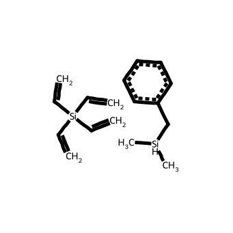 C=C[Si](C=C)(C=C)C=C.C[SiH](C)Cc1ccccc1